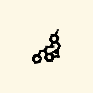 Fc1cc(CC2CC2)c(NN=C(Cc2ccccn2)c2ccnc(Br)c2)cn1